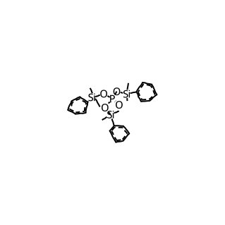 C[Si](C)(OP(=O)(O[Si](C)(C)c1ccccc1)O[Si](C)(C)c1ccccc1)c1ccccc1